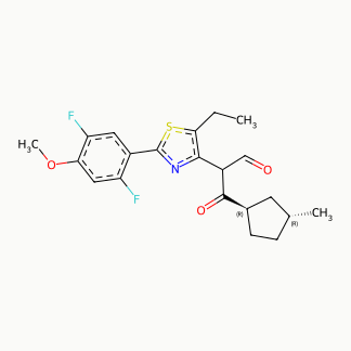 CCc1sc(-c2cc(F)c(OC)cc2F)nc1C(C=O)C(=O)[C@@H]1CC[C@@H](C)C1